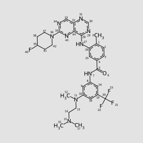 Cc1ccc(C(=O)Nc2cc(N(C)CCN(C)C)cc(C(F)(F)F)c2)cc1Nc1ncnc2cnc(N3CCC(F)CC3)nc12